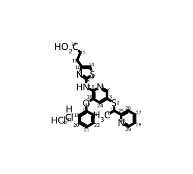 CC(Sc1cnc(Nc2nc(CCC(=O)O)cs2)c(Oc2ccccc2)c1)c1ccccn1.Cl.Cl